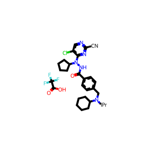 CC(C)N(Cc1ccc(C(=O)NN(c2nc(C#N)ncc2Cl)C2CCCC2)cc1)C1CCCCC1.O=C(O)C(F)(F)F